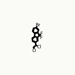 O=CC(Cl)c1ccc2c(c1)C(F)(F)c1cc(Br)ccc1-2